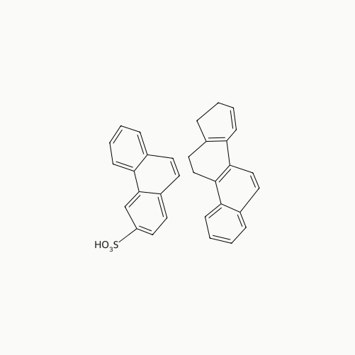 C1=CC2=C(CC1)CCc1c2ccc2ccccc12.O=S(=O)(O)c1ccc2ccc3ccccc3c2c1